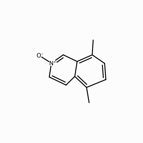 Cc1ccc(C)c2c[n+]([O-])ccc12